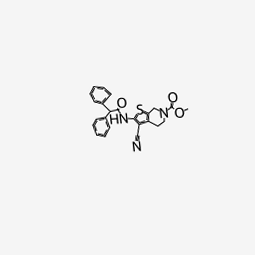 COC(=O)N1CCc2c(sc(NC(=O)C(c3ccccc3)c3ccccc3)c2C#N)C1